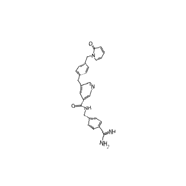 N=C(N)c1ccc(CNC(=O)c2cncc(Cc3ccc(Cn4ccccc4=O)cc3)c2)cc1